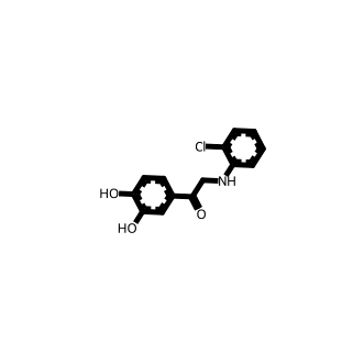 O=C(CNc1ccccc1Cl)c1ccc(O)c(O)c1